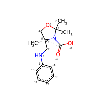 CC1(C)OC[C@](C)(CNc2ccccc2)N1C(=O)O